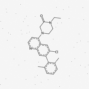 CCN1CCN(c2ccnc3cc(-c4c(C)cccc4C)c(Cl)cc23)CC1=O